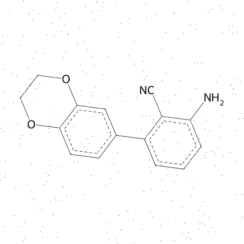 N#Cc1c(N)cccc1-c1ccc2c(c1)OCCO2